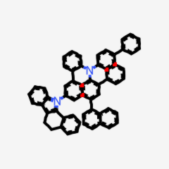 c1ccc(-c2ccc(N(c3ccccc3-c3cccc(-n4c5c(c6ccccc64)CCc4ccccc4-5)c3)c3ccc(-c4cccc5ccccc45)cc3-c3ccccc3)cc2)cc1